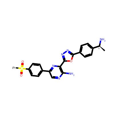 CC(C)S(=O)(=O)c1ccc(-c2cnc(N)c(-c3nnc(-c4ccc([C@H](C)N)cc4)o3)n2)cc1